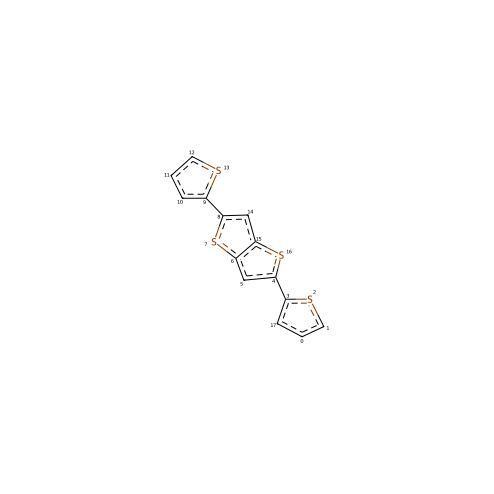 c1csc(-c2cc3sc(-c4cccs4)cc3s2)c1